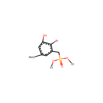 CCOP(=O)(Cc1cc(OC)cc(O)c1Br)OCC